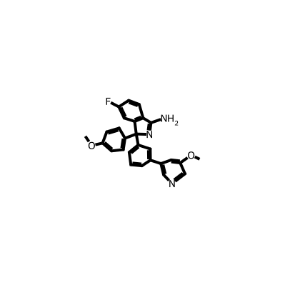 COc1ccc(C2(c3cccc(-c4cncc(OC)c4)c3)N=C(N)c3ccc(F)cc32)cc1